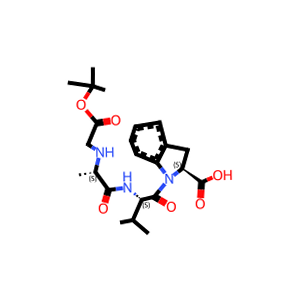 CC(C)[C@H](NC(=O)[C@H](C)NCC(=O)OC(C)(C)C)C(=O)N1c2ccccc2C[C@H]1C(=O)O